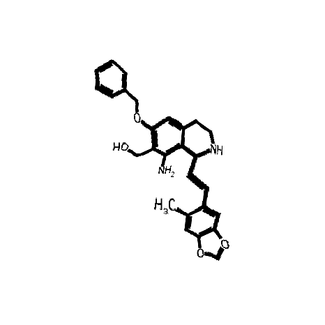 Cc1cc2c(cc1/C=C/C1NCCc3cc(OCc4ccccc4)c(CO)c(N)c31)OCO2